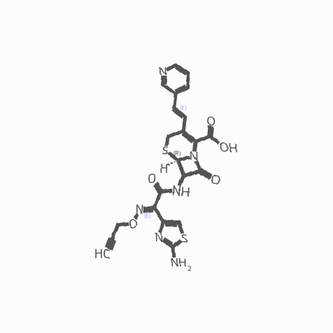 C#CCO/N=C(/C(=O)NC1C(=O)N2C(C(=O)O)=C(/C=C/c3cccnc3)CS[C@H]12)c1csc(N)n1